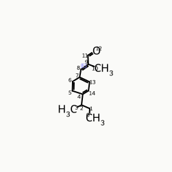 CCC(C)c1ccc(/C=C(\C)C=O)cc1